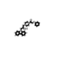 O=C(COc1ccccc1)N1CCN(CC(O)Cn2c3ccccc3c3ccccc32)CC1